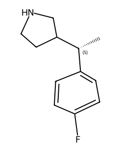 C[C@H](c1ccc(F)cc1)C1CCNC1